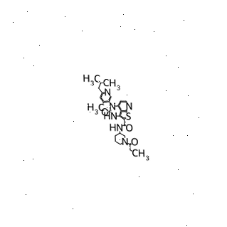 CCC(=O)N1CCC[C@@H](NC(=O)c2sc3nccc4c3c2NC(=O)N4c2cnc(CC(C)C)cc2C)C1